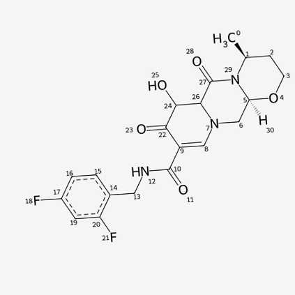 C[C@H]1CCO[C@H]2CN3C=C(C(=O)NCc4ccc(F)cc4F)C(=O)C(O)C3C(=O)N21